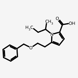 CCC(C)n1c(CCOCc2ccccc2)ccc1C(=O)O